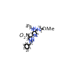 COC1CN(c2nn(CC(C)C)c3cc(-c4nn(Cc5ccccc5)cc4[N+](=O)[O-])ncc23)C1